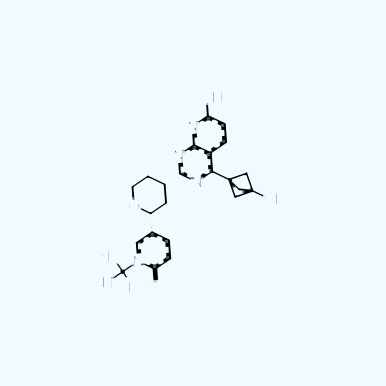 [2H]C([2H])([2H])n1cc([C@H]2C[C@@H](c3nc(C45CC(C(F)(F)F)(C4)C5)c4ccc(C)nc4n3)CCO2)ccc1=O